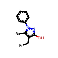 CC(C)Cc1c(O)nn(-c2ccccc2)c1C(C)(C)C